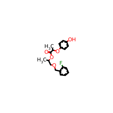 CC(COCc1ccccc1F)OC(=O)C(C)Oc1ccc(O)cc1